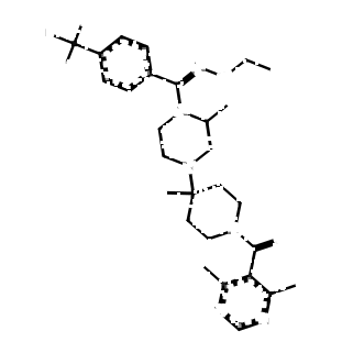 CCON=C(c1ccc(C(F)(F)F)cc1)N1CCN(C2(C)CCN(C(=O)c3c(C)ncnc3C)CC2)CC1C